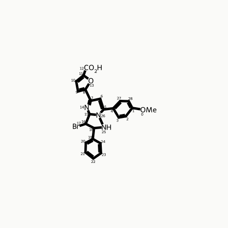 COc1ccc(C2=CC(c3ccc(C(=O)O)o3)=NC3C(Br)C(c4ccccc4)NN23)cc1